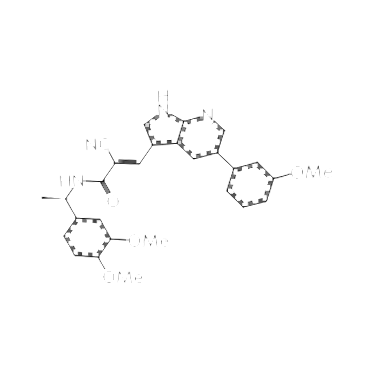 COc1cccc(-c2cnc3[nH]cc(/C=C(\C#N)C(=O)N[C@H](C)c4ccc(OC)c(OC)c4)c3c2)c1